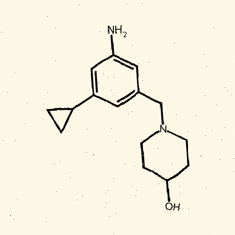 Nc1cc(CN2CCC(O)CC2)cc(C2CC2)c1